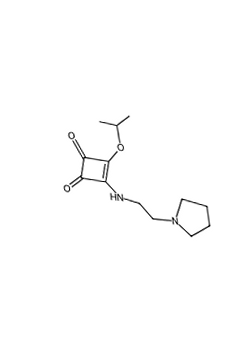 CC(C)Oc1c(NCCN2CCCC2)c(=O)c1=O